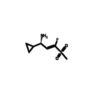 CS(=O)(=O)/C(F)=C/[C@@H](N)C1CC1